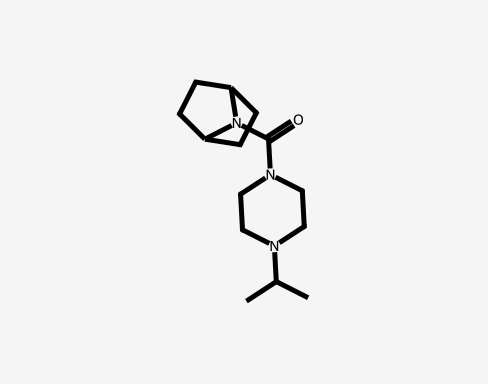 CC(C)N1CCN(C(=O)N2C3CCC2CC3)CC1